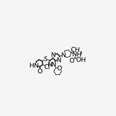 CC1(NC(=O)O)CCN(c2cnc3c(Sc4cc[nH]c(=O)c4Cl)nn(C4CCCCO4)c3n2)CC1